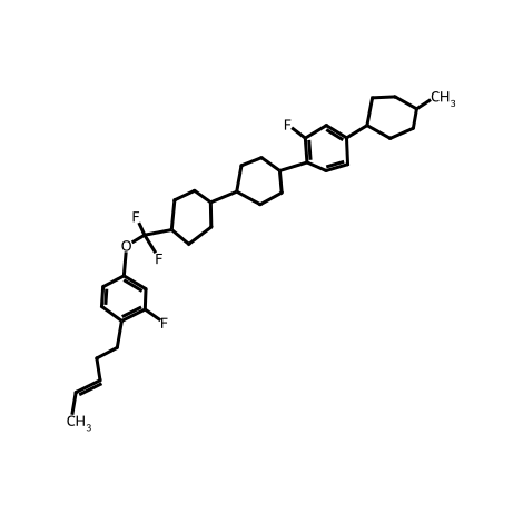 C/C=C/CCc1ccc(OC(F)(F)C2CCC(C3CCC(c4ccc(C5CCC(C)CC5)cc4F)CC3)CC2)cc1F